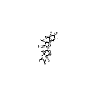 C=C(C[C@@H](NC(=O)[C@H]1O[C@@H](n2ccc(=O)[nH]c2=O)C(OC)C1O)C(=O)OC)OC